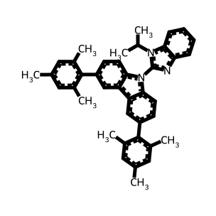 Cc1cc(C)c(-c2ccc3c(c2)c2cc(-c4c(C)cc(C)cc4C)ccc2n3-c2nc3ccccc3n2C(C)C)c(C)c1